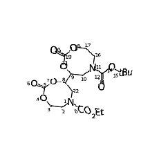 CCOC(=O)N1CCOC(=O)OC(C2CN(C(=O)OC(C)(C)C)CCOC(=O)O2)C1